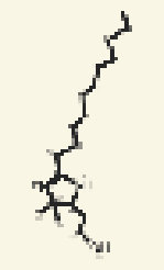 CCCCCCCCCCCC1=NC(C)(C)C(CCO)N1